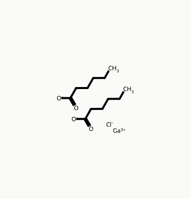 CCCCCC(=O)[O-].CCCCCC(=O)[O-].[Cl-].[Ga+3]